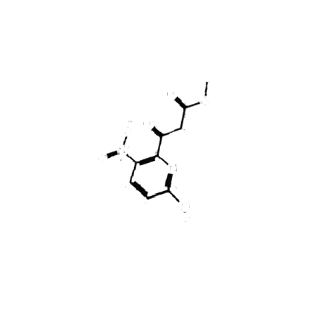 COC(=O)CC(=O)c1nc(Cl)ccc1[N+](=O)[O-]